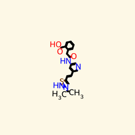 CC(C)N1C=C(C=Cc2cncc(NC(=O)Cc3ccccc3C(=O)O)c2)SN1